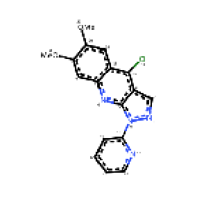 COc1cc2nc3c(cnn3-c3ccccn3)c(Cl)c2cc1OC